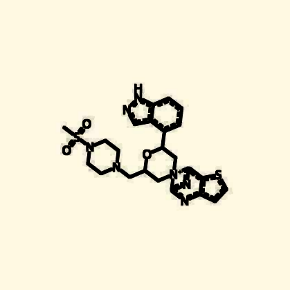 CS(=O)(=O)N1CCN(CC2C[N+]3(CC(c4cccc5[nH]ncc45)O2)c2nc3c3sccc3n2)CC1